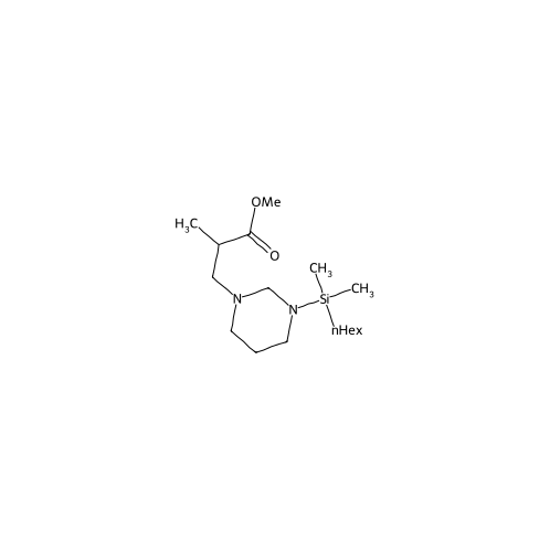 CCCCCC[Si](C)(C)N1CCCN(CC(C)C(=O)OC)C1